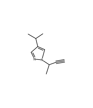 C#CC(C)n1cc(C(C)C)cn1